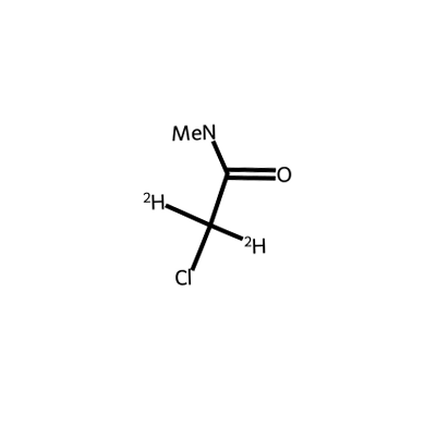 [2H]C([2H])(Cl)C(=O)NC